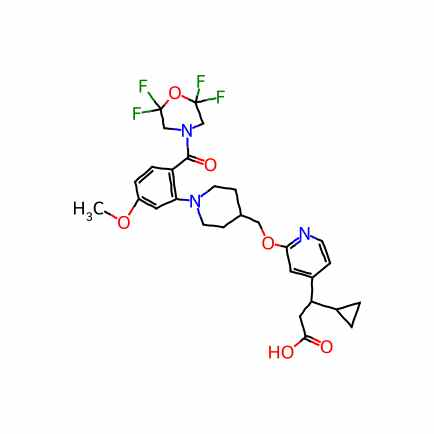 COc1ccc(C(=O)N2CC(F)(F)OC(F)(F)C2)c(N2CCC(COc3cc(C(CC(=O)O)C4CC4)ccn3)CC2)c1